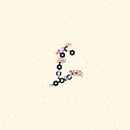 CC1(CN2CCN(C(=O)OC(C)(C)C)CC2)CCC(c2ccc(Cl)cc2)=C(CN2CCN(c3ccc(C(=O)NS(=O)(=O)c4ccc(NC(CCO)CSc5ccccc5)c([N+](=O)[O-])c4)cc3)CC2)C1